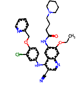 CCOc1cc2ncc(C#N)c(Nc3ccc(OCc4ccccn4)c(Cl)c3)c2cc1NC(=O)CCCN1CCCCC1